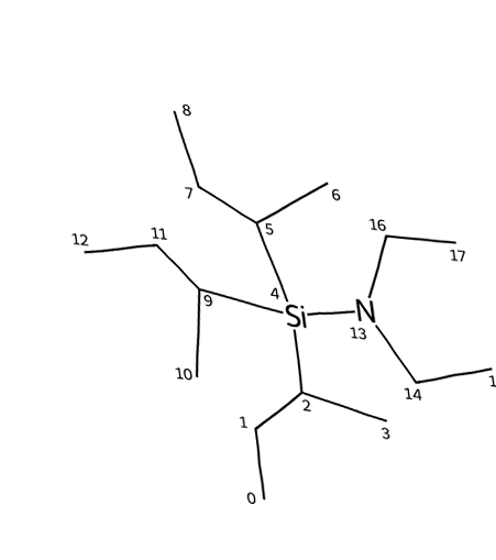 CCC(C)[Si](C(C)CC)(C(C)CC)N(CC)CC